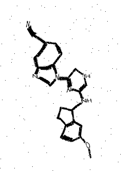 COc1ccc2c(c1)C(NC1=CNCC(n3cnc4cc(C#N)ccc43)=N1)CC2